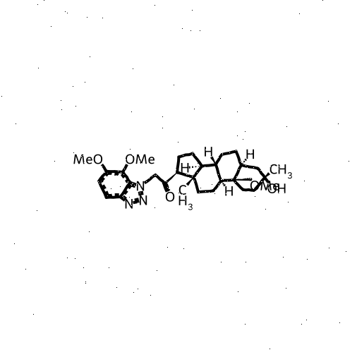 COC[C@]12CC[C@@](C)(O)C[C@@H]1CC[C@H]1[C@@H]3CC[C@H](C(=O)Cn4nnc5ccc(OC)c(OC)c54)[C@@]3(C)CC[C@@H]12